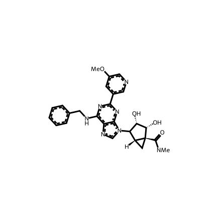 CNC(=O)[C@@]12C[C@@H]1C(n1cnc3c(NCc4ccccc4)nc(-c4cncc(OC)c4)nc31)[C@H](O)[C@@H]2O